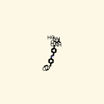 CC(C)[C@H](NC(=O)c1ccc(/C=C/c2ccc(CN3CCOCC3)cc2)cc1)C(=O)NO